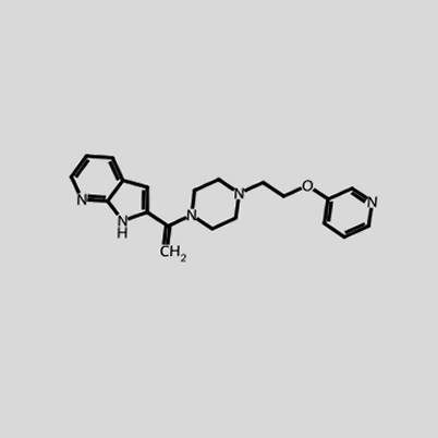 C=C(c1cc2cccnc2[nH]1)N1CCN(CCOc2cccnc2)CC1